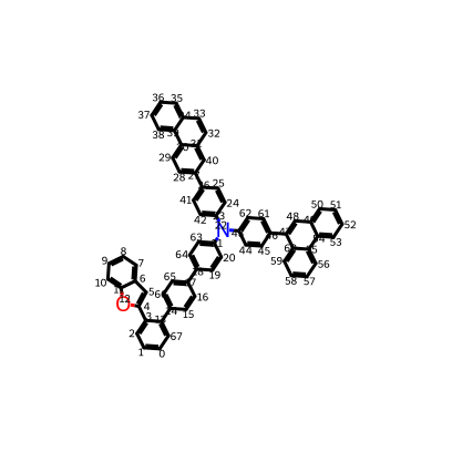 c1ccc(-c2cc3ccccc3o2)c(-c2ccc(-c3ccc(N(c4ccc(-c5ccc6c(ccc7ccccc76)c5)cc4)c4ccc(-c5cc6ccccc6c6ccccc56)cc4)cc3)cc2)c1